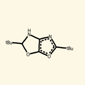 CC(C)(C)c1nc2c(o1)OC(C(C)(C)C)N2